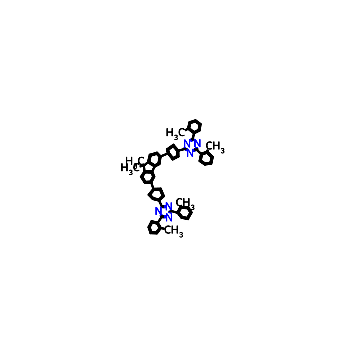 Cc1ccccc1-c1nc(-c2ccc(-c3ccc4c(c3)-c3cc(-c5ccc(-c6nc(-c7ccccc7C)nc(-c7ccccc7C)n6)cc5)ccc3C4(C)C)cc2)nc(-c2ccccc2C)n1